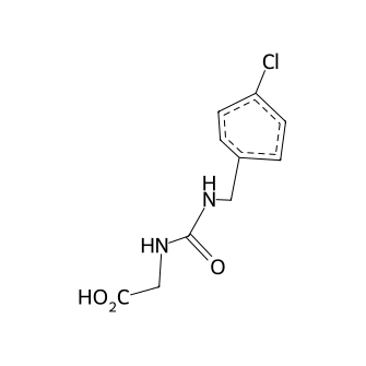 O=C(O)CNC(=O)NCc1ccc(Cl)cc1